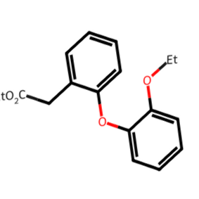 CCOC(=O)Cc1ccccc1Oc1ccccc1OCC